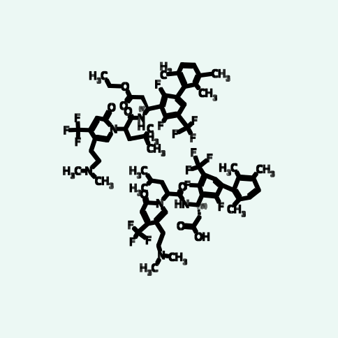 CCOC(=O)C[C@H](NC(=O)C(CC(C)C)n1cc(CCN(C)C)c(C(F)(F)F)cc1=O)c1c(F)c(-c2c(C)ccc(C)c2C)cc(C(F)(F)F)c1F.Cc1ccc(C)c(-c2cc(C(F)(F)F)c(F)c([C@H](CC(=O)O)NC(=O)C(CC(C)C)n3cc(CCN(C)C)c(C(F)(F)F)cc3=O)c2F)c1C